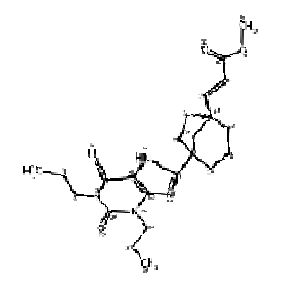 CCCn1c(=O)c2[nH]c(C34CCCC(C=CC(=O)OC)(CC3)C4)nc2n(CCC)c1=O